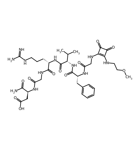 COCCNc1c(NCC(=O)N[C@H](Cc2ccccc2)C(=O)N[C@H](C(=O)N[C@@H](CCCNC(=N)N)C(=O)NCC(=O)N[C@@H](CC(=O)O)C(N)=O)C(C)C)c(=O)c1=O